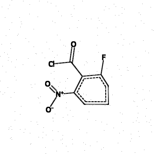 O=C(Cl)c1c(F)cccc1[N+](=O)[O-]